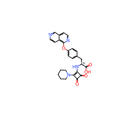 O=C(O)[C@H](Cc1ccc(Oc2nccc3cnccc23)cc1)Nc1c(N2CCCCC2)c(=O)c1=O